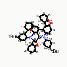 Cc1cc2c3c(c1)N(c1ccc(C(C)(C)C)cc1-c1ccccc1)c1c(oc4ccccc14)B3N(c1ccc(C(C)(C)C)cc1)c1ccc3oc4ccccc4c3c1-2